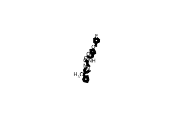 CC(c1ccccc1)c1ccn2cc(C(=O)NC(Cc3ccc(OCc4ccc(F)cc4)cc3)C(=O)O)nc2c1